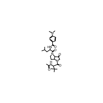 CC(=O)NC(C(=O)N1CC(=O)C2C1CCN2C(=O)C(CC(C)C)NC(=O)c1ccc(N(C)C)cc1)C(C)(C)C